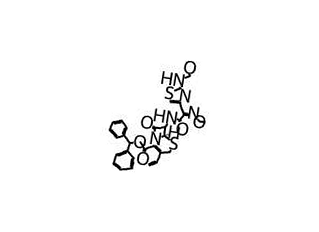 C=CC1=C(C(=O)OC(c2ccccc2)c2ccccc2)N2C(=O)C(NC(=O)/C(=N\OC)c3csc(NC=O)n3)[C@H]2SC1